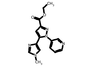 CCOC(=O)c1cc(-c2cn(C)cn2)n(-c2cccnc2)n1